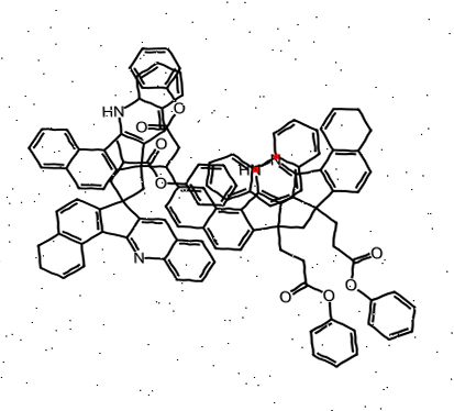 CC(CC1(CC2(C(CC(=O)Oc3ccccc3)c3ccc4ccc5c(c4c3)C3=C(C=C4C=CC=CC4N3)C5(CCC(=O)Oc3ccccc3)CC3(CCC(=O)Oc4ccccc4)c4cc5ccccc5nc4-c4c3ccc3c4C=CCC3)C3=C(NC4C=CC=CC4=C3)c3c2ccc2ccccc32)c2cc3ccccc3nc2-c2c1ccc1c2C=CCC1)C(=O)Oc1ccccc1